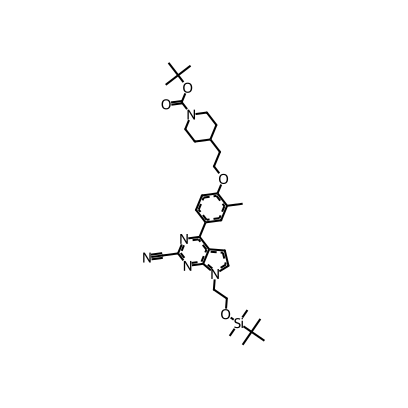 Cc1cc(-c2nc(C#N)nc3c2ccn3CCO[Si](C)(C)C(C)(C)C)ccc1OCCC1CCN(C(=O)OC(C)(C)C)CC1